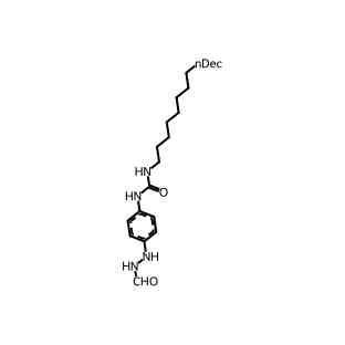 CCCCCCCCCCCCCCCCCCNC(=O)Nc1ccc(NNC=O)cc1